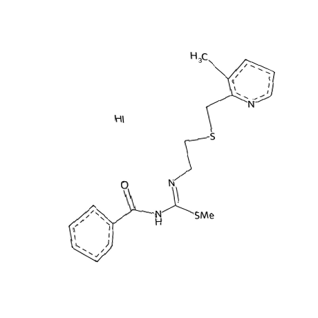 CS/C(=N\CCSCc1ncccc1C)NC(=O)c1ccccc1.I